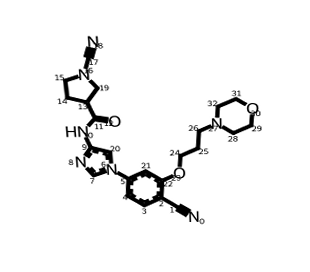 N#Cc1ccc(-n2cnc(NC(=O)C3CCN(C#N)C3)c2)cc1OCCCN1CCOCC1